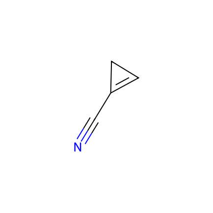 N#CC1=CC1